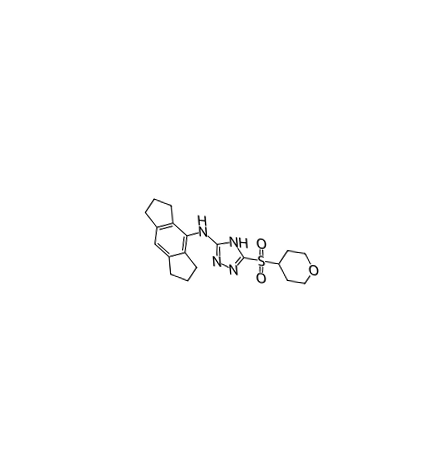 O=S(=O)(c1nnc(Nc2c3c(cc4c2CCC4)CCC3)[nH]1)C1CCOCC1